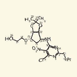 CCCSc1nc(Cl)c([N+](=O)[O-])c(NC2C[C@H](OCCO)C3OC(C)(C)OC23)n1